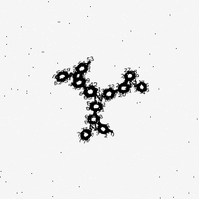 Cc1ccc2c(c1)c1cc(-c3ccc(N(c4ccc(-c5ccc6c(c5)c5ccccc5n6-c5ccccc5)cc4)c4ccc(-c5ccc6c(c5)c5cc(C)ccc5n6-c5ccccc5)cc4)cc3)ccc1n2-c1ccccc1